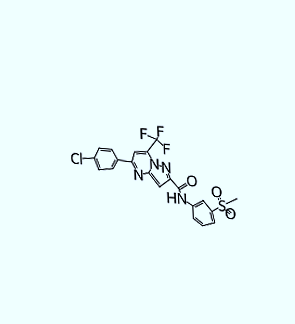 CS(=O)(=O)c1cccc(NC(=O)c2cc3nc(-c4ccc(Cl)cc4)cc(C(F)(F)F)n3n2)c1